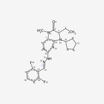 CCC1C(=O)N(C)c2cnc(N/N=C/c3c(F)cccc3F)nc2N1C1CCCC1